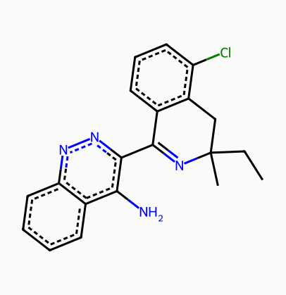 CCC1(C)Cc2c(Cl)cccc2C(c2nnc3ccccc3c2N)=N1